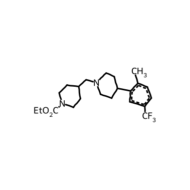 CCOC(=O)N1CCC(CN2CCC(c3cc(C(F)(F)F)ccc3C)CC2)CC1